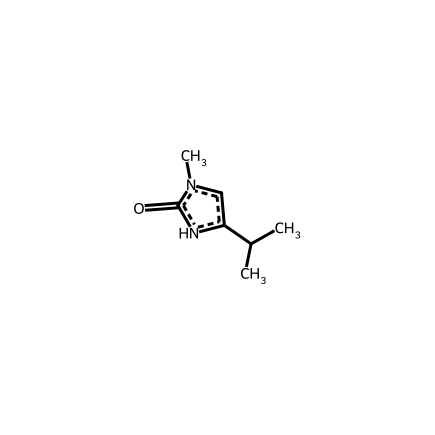 CC(C)c1cn(C)c(=O)[nH]1